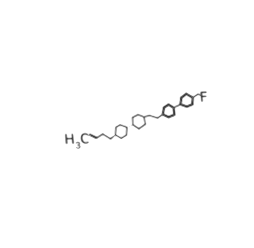 C/C=C/CC[C@H]1CC[C@H](C2CCC(CCc3ccc(-c4ccc(CF)cc4)cc3)CC2)CC1